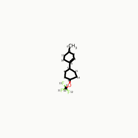 CC1CC=C(C2CCC(OC(F)(F)F)CC2)CC1